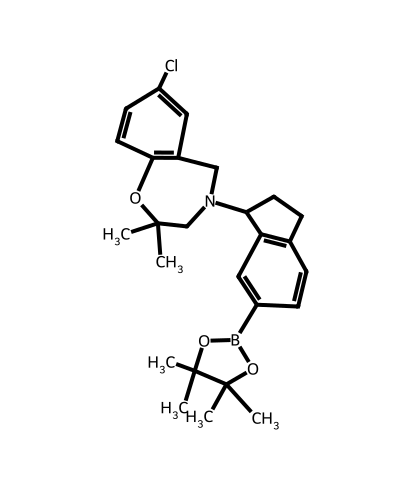 CC1(C)CN(C2CCc3ccc(B4OC(C)(C)C(C)(C)O4)cc32)Cc2cc(Cl)ccc2O1